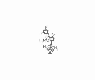 CC(C)(C#Cc1ccc(Br)c([C@H](Cc2cc(F)cc(F)c2)OC(N)=O)n1)S(=O)(=O)C1CC1